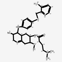 CCOC1CC2=NCC(C#N)C(Nc3ccc(OCc4ncccc4C)cc3)C2CC1NC(=O)CCCN(C)C